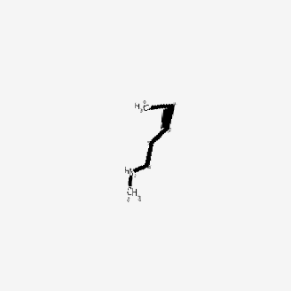 C/C=C\CCNC